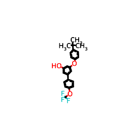 CC(C)(C)c1ccc(Oc2cc(O)cc(-c3ccc(OC(F)(F)F)cc3)c2)cc1